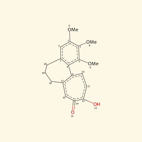 COc1cc2c(c(OC)c1OC)-c1ccc(O)c(=O)cc1CCC2